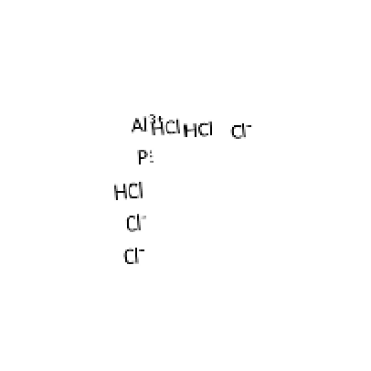 Cl.Cl.Cl.[Al+3].[Cl-].[Cl-].[Cl-].[P]